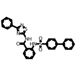 O=C(Nc1nc(-c2ccccc2)ns1)c1ccccc1NS(=O)(=O)c1ccc(-c2ccccc2)cc1